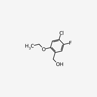 CCOc1cc(Cl)c(F)cc1CO